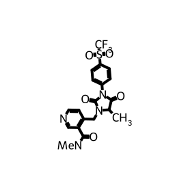 CNC(=O)c1cnccc1CN1C(=O)N(c2ccc(S(=O)(=O)C(F)(F)F)cc2)C(=O)C1C